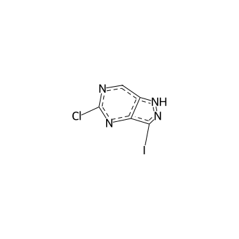 Clc1ncc2[nH]nc(I)c2n1